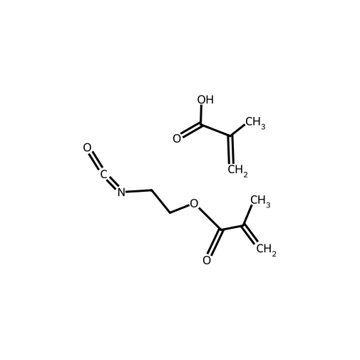 C=C(C)C(=O)O.C=C(C)C(=O)OCCN=C=O